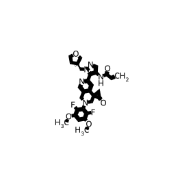 C=CC(=O)Nc1cnn(C[C@H]2CCOC2)c1-c1cc2c(cn1)CN(c1c(F)c(OC)cc(OC)c1F)CC21CC1=O